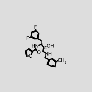 Cc1cccc(CNC[C@@H](O)[C@H](Cc2cc(F)cc(F)c2)NC(=O)c2ccco2)c1